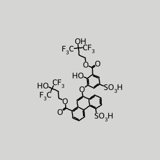 O=C(OCCC(O)(C(F)(F)F)C(F)(F)F)c1cc(S(=O)(=O)O)cc(Oc2cc3c(C(=O)OCCC(O)(C(F)(F)F)C(F)(F)F)cccc3c3c(S(=O)(=O)O)cccc23)c1O